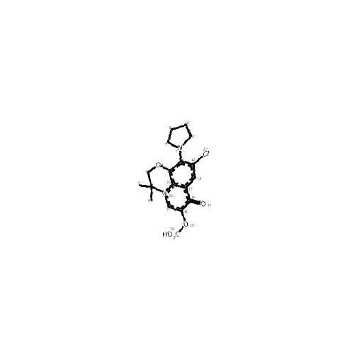 CC1(C)COc2c(N3CCCC3)c(Cl)cc3c(=O)c(OC(=O)O)cn1c23